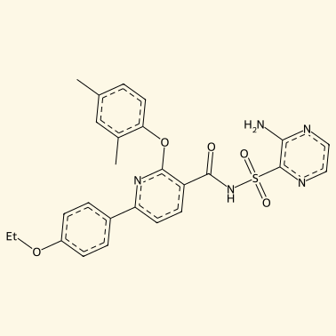 CCOc1ccc(-c2ccc(C(=O)NS(=O)(=O)c3nccnc3N)c(Oc3ccc(C)cc3C)n2)cc1